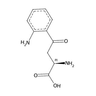 Nc1ccccc1C(=O)C[C@@H](N)C(=O)O